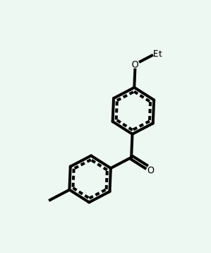 CCOc1ccc(C(=O)c2ccc(C)cc2)cc1